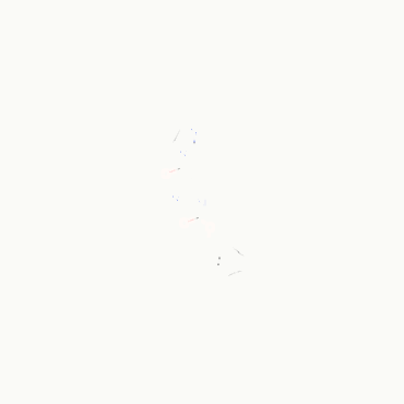 N[C@H](CC(=O)n1ccnc1)NC(=O)OCc1ccccc1